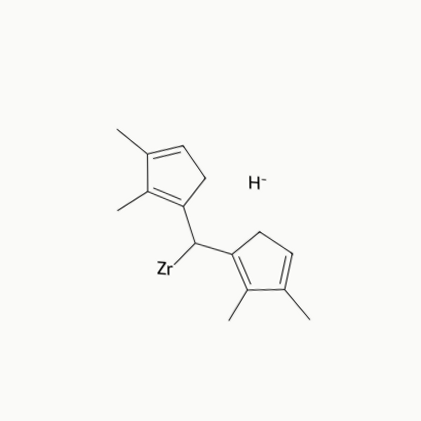 CC1=CCC([CH]([Zr])C2=C(C)C(C)=CC2)=C1C.[H-]